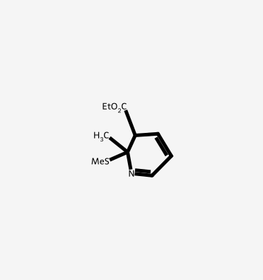 CCOC(=O)C1C=CC=NC1(C)SC